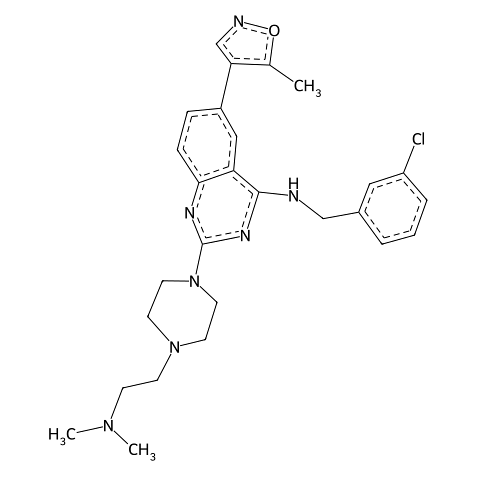 Cc1oncc1-c1ccc2nc(N3CCN(CCN(C)C)CC3)nc(NCc3cccc(Cl)c3)c2c1